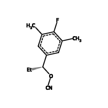 CC[C@@H](OC#N)c1cc(C)c(F)c(C)c1